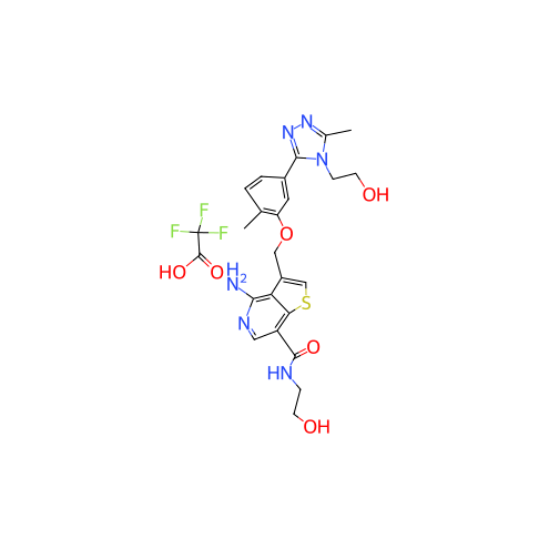 Cc1ccc(-c2nnc(C)n2CCO)cc1OCc1csc2c(C(=O)NCCO)cnc(N)c12.O=C(O)C(F)(F)F